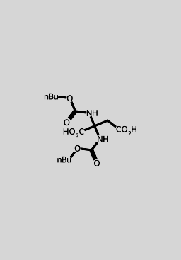 CCCCOC(=O)NC(CC(=O)O)(NC(=O)OCCCC)C(=O)O